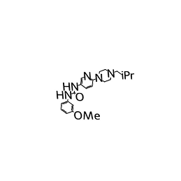 COc1cccc(NC(=O)Nc2ccc(N3CCN(CC(C)C)CC3)nc2)c1